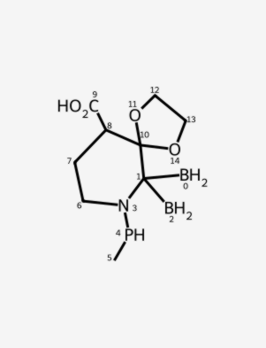 BC1(B)N(PC)CCC(C(=O)O)C12OCCO2